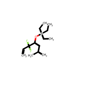 C=CC(F)(F)C(CC(C)C)O[Si](CC)(CC)CC